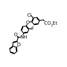 CCOC(=O)Cc1ccc(Oc2ccc(NC(=O)c3cc4ccccc4o3)cc2F)c(Cl)c1